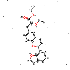 C=CC(Oc1ccc(C[C@H](OCC)C(=O)OCC)cc1)c1cccc2ccoc12